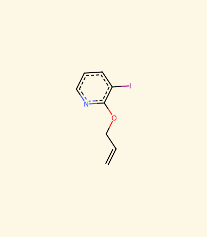 C=CCOc1ncccc1I